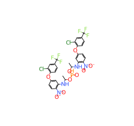 CC(Nc1cc(Oc2ccc(C(F)(F)F)cc2Cl)ccc1[N+](=O)[O-])O[PH](=O)OC(C)Nc1cc(Oc2ccc(C(F)(F)F)cc2Cl)ccc1[N+](=O)[O-]